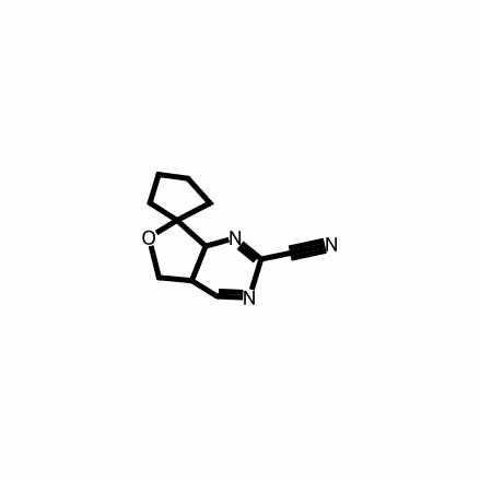 N#CC1=NC2C(C=N1)COC21CCCC1